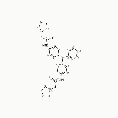 O=C(CN1CCCC1)Nc1ccc(C(c2ccc(NC(=O)CN3CCCC3)cc2)c2cccnc2)cc1